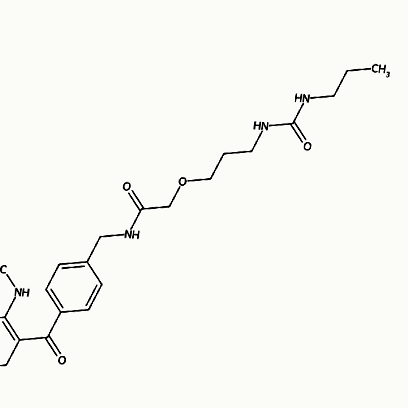 CCCNC(=O)NCCCOCC(=O)NCc1ccc(C(=O)C2=C(NC)CCCC2)cc1